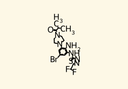 CC(C)C(=O)N1CCN(c2cc(Br)cc(Nc3nnc(C(F)F)s3)c2N)CC1